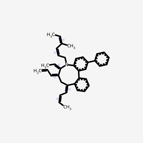 C=C/C=C1/C/C(=C\C=C/C)c2ccccc2-c2cc(-c3ccccc3)ccc2N(C/C=C\C(C)=C/C)/C1=C/C